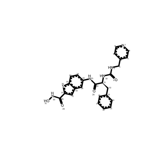 O=C(NCc1ccncc1)N[C@@H](Cc1ccccc1)C(=O)Nc1ccc2sc(C(=O)NO)cc2c1